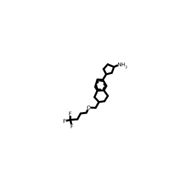 NC1CCC(c2ccc3c(c2)CCC(COCCCC(F)(F)F)C3)C1